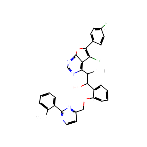 COc1ccccc1-c1nccc(COc2ccccc2C(O)C(C(=O)O)c2ncnc3oc(-c4ccc(F)cc4)c(Br)c23)n1